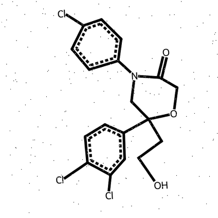 O=C1COC(CCO)(c2ccc(Cl)c(Cl)c2)CN1c1ccc(Cl)cc1